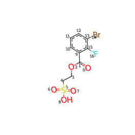 O=C(OCCS(=O)(=O)O)c1cccc(Br)c1F